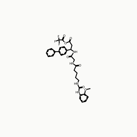 COc1ccccc1NC(=O)NCCCCC(=O)NCC(=O)NC(CC(=O)OC(=O)C(F)(F)F)c1ccc(-c2ccccc2)cc1